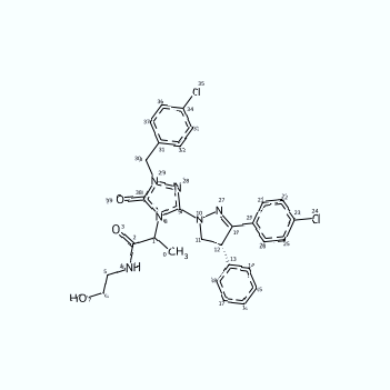 CC(C(=O)NCCO)n1c(N2C[C@@H](c3ccccc3)C(c3ccc(Cl)cc3)=N2)nn(Cc2ccc(Cl)cc2)c1=O